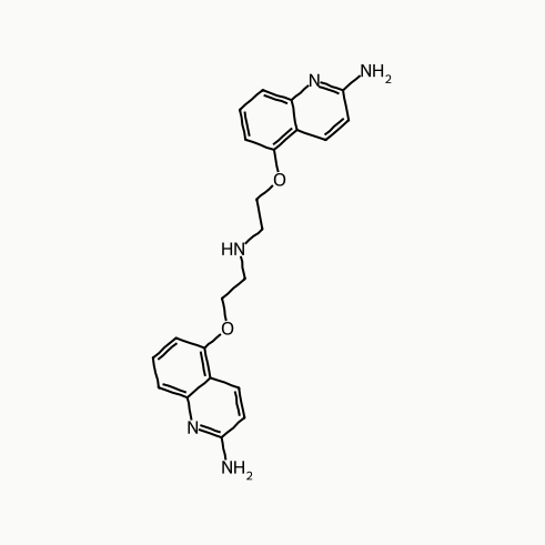 Nc1ccc2c(OCCNCCOc3cccc4nc(N)ccc34)cccc2n1